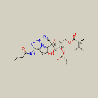 CCCC(=O)Nc1ncnn2c([C@]3(C#N)O[C@H](COC(=O)[C@@H](C)C(C)C)[C@@H](OC(=O)CC)[C@H]3O)ccc12